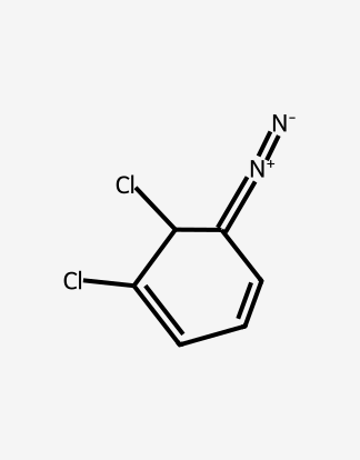 [N-]=[N+]=C1C=CC=C(Cl)C1Cl